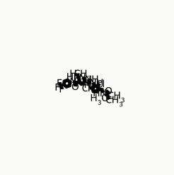 CNc1nc2[nH]c(Nc3c(Cl)ccc(CNC(=O)C(C)(C)C)c3Cl)nc2cc1C(=O)N[C@H]1CC[C@H](C(F)(F)F)CC1